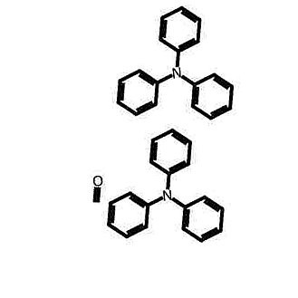 C=O.c1ccc(N(c2ccccc2)c2ccccc2)cc1.c1ccc(N(c2ccccc2)c2ccccc2)cc1